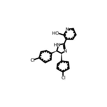 Oc1ncccc1C1=N[C@@H](c2ccc(Cl)cc2)[C@@H](c2ccc(Cl)cc2)N1